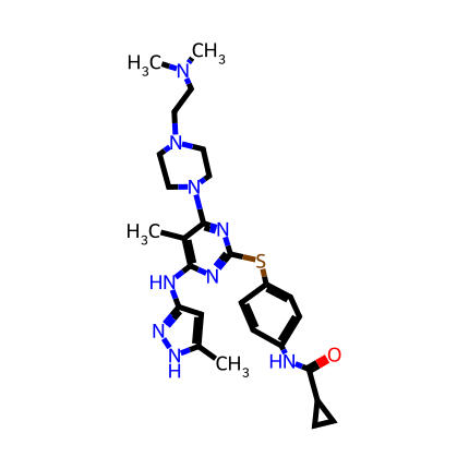 Cc1cc(Nc2nc(Sc3ccc(NC(=O)C4CC4)cc3)nc(N3CCN(CCN(C)C)CC3)c2C)n[nH]1